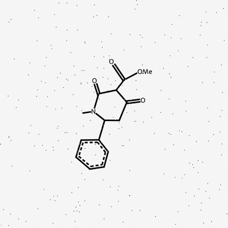 COC(=O)C1C(=O)CC(c2ccccc2)N(C)C1=O